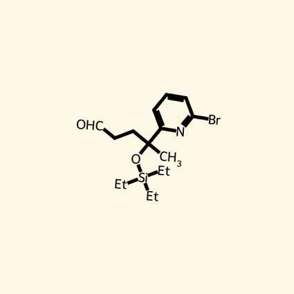 CC[Si](CC)(CC)OC(C)(CCC=O)c1cccc(Br)n1